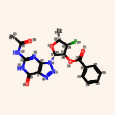 CC[C@H]1O[C@@H](n2nnc3c(=O)[nH]c(NC(=O)C(C)C)nc32)[C@H](OC(=O)c2ccccc2)[C@@H]1F